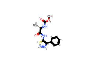 CC(C)(C)OC(=O)N[C@H](C(=O)Nc1snnc1-c1ccccc1)C(C)(C)C